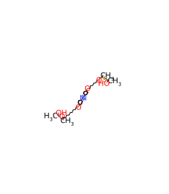 CC(O)COC(C)CCCCCCCCOc1ccc(N=Nc2ccc(OCCCCCCOCC(C)SCC(C)O)cc2)cc1